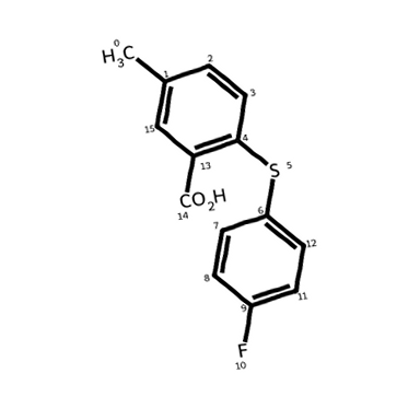 Cc1ccc(Sc2ccc(F)cc2)c(C(=O)O)c1